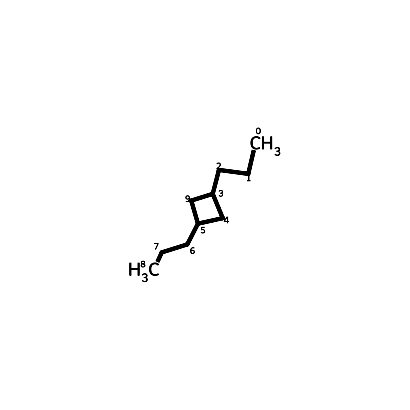 CCCC1CC(CCC)C1